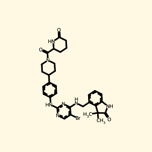 CC1(C)C(=O)Nc2cccc(CNc3nc(Nc4ccc(C5CCN(C(=O)C6CCCC(=O)N6)CC5)cc4)ncc3Br)c21